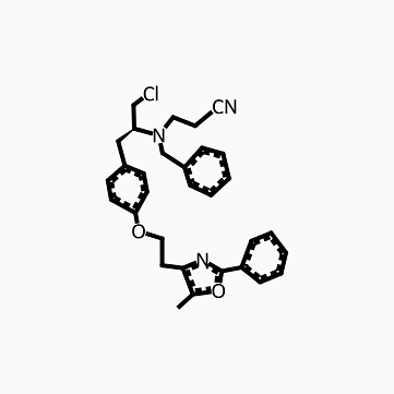 Cc1oc(-c2ccccc2)nc1CCOc1ccc(C[C@@H](CCl)N(CCC#N)Cc2ccccc2)cc1